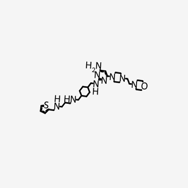 Nc1cc(N2CCN(CCN3CCOCC3)CC2)nc(NCC2CCC(CNCCCNCc3cccs3)CC2)n1